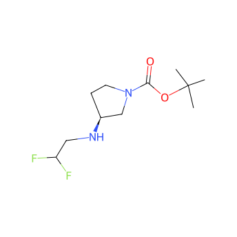 CC(C)(C)OC(=O)N1CC[C@H](NCC(F)F)C1